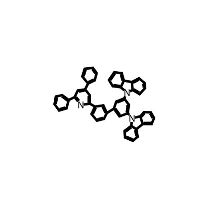 c1ccc(-c2cc(-c3ccccc3)nc(-c3cccc(-c4cc(-n5c6ccccc6c6ccccc65)cc(-n5c6ccccc6c6ccccc65)c4)c3)c2)cc1